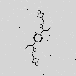 CCC(OCC1COC1)c1ccc(C(CC)OCC2COC2)cc1